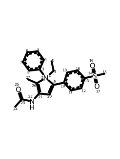 CC[N+]1(c2ccccc2)C(c2ccc(S(C)(=O)=O)cc2)=CC(NC(C)=O)=C1C